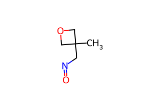 CC1(CN=O)COC1